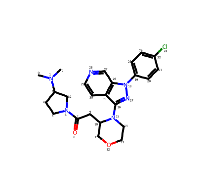 CN(C)C1CCN(C(=O)CC2COCCN2c2nn(-c3ccc(Cl)cc3)c3cnccc23)C1